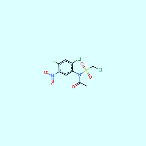 CC(=O)N(c1cc([N+](=O)[O-])c(F)cc1Cl)S(=O)(=O)CCl